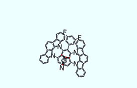 N#Cc1cc(-n2c3ccccc3c3ccc4c5ccccc5n(-c5ccccc5)c4c32)c(-c2cc(F)cc(F)c2)c(-n2c3ccccc3c3ccc4c5ccccc5n(-c5ccccc5)c4c32)c1